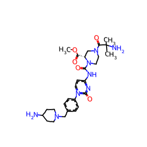 COC(=O)[C@@H]1CN(C(=O)C(C)(C)N)CCN1C(=O)Nc1ccn(-c2ccc(CN3CCC(N)CC3)cc2)c(=O)n1